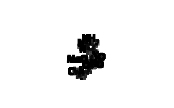 COC(=O)C1CN(Cc2ccc3c(N)ncnc3c2)C(=O)C(=O)N1C/C=C/c1ccc(Cl)s1